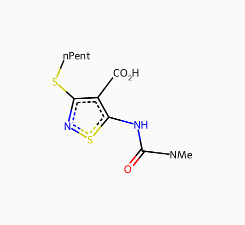 CCCCCSc1nsc(NC(=O)NC)c1C(=O)O